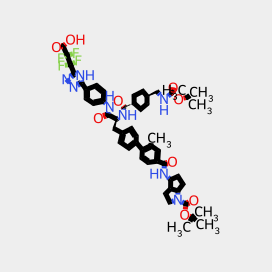 Cc1cc(C(=O)NC2CCC3C2CCN3C(=O)OC(C)(C)C)ccc1-c1ccc(C[C@H](NC(=O)[C@H]2CC[C@H](CNC(=O)OC(C)(C)C)CC2)C(=O)Nc2ccc(-c3nnc(C(F)(F)C(F)(F)C(=O)O)[nH]3)cc2)cc1